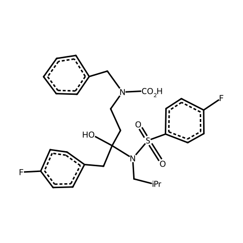 CC(C)CN(C(O)(CCN(Cc1ccccc1)C(=O)O)Cc1ccc(F)cc1)S(=O)(=O)c1ccc(F)cc1